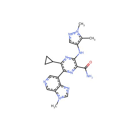 Cc1c(Nc2nc(C3CC3)c(-c3cncc4c3ncn4C)nc2C(N)=O)cnn1C